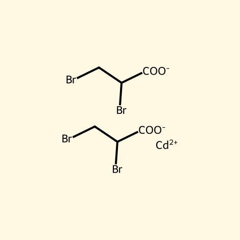 O=C([O-])C(Br)CBr.O=C([O-])C(Br)CBr.[Cd+2]